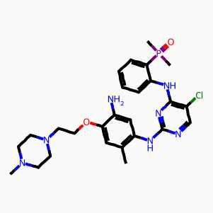 Cc1cc(OCCN2CCN(C)CC2)c(N)cc1Nc1ncc(Cl)c(Nc2ccccc2P(C)(C)=O)n1